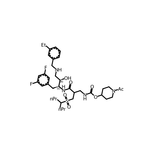 CCCC(CCC)S(=O)(=O)CC(CNC(=O)OC1CCN(C(C)=O)CC1)C(=O)N[C@@H](Cc1cc(F)cc(F)c1)[C@H](O)CNCc1cccc(CC)c1